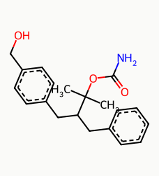 CC(C)(OC(N)=O)C(Cc1ccccc1)Cc1ccc(CO)cc1